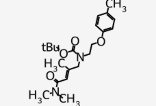 C/C(=C\C(=O)N(C)C)CN(CCOc1ccc(C)cc1)C(=O)OC(C)(C)C